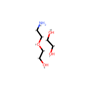 NCCOCCO.OCCO